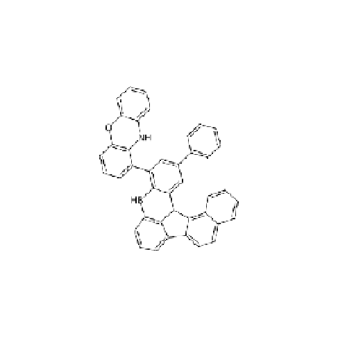 B1c2cccc3c2C(c2cc(-c4ccccc4)cc(-c4cccc5c4Nc4ccccc4O5)c21)c1c-3ccc2ccccc12